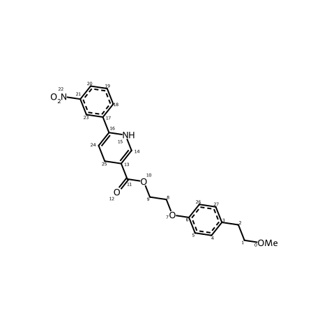 COCCc1ccc(OCCOC(=O)C2=CNC(c3cccc([N+](=O)[O-])c3)=CC2)cc1